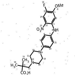 COc1cc(Nc2ccc(N3CCN(CC(C)(C)C(=O)O)CC3)cc2)c([N+](=O)[O-])cc1F